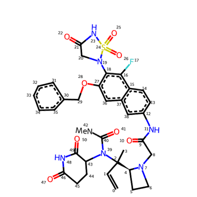 C=CC(C)([C@@H]1CCN1CC(=O)Nc1ccc2c(F)c(N3CC(=O)NS3(=O)=O)c(OCc3ccccc3)cc2c1)N(C(=O)NC)C1CCC(=O)NC1=O